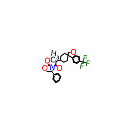 C[C@H](C(=O)N1C(=O)OC[C@@H]1c1ccccc1)C1CCC2(CC1)COc1cc(C(F)(F)F)ccc12